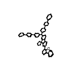 c1ccc(-c2ccc(-c3ccc(C(c4ccc(-c5ccc(-c6ccccc6)cc5)cc4)c4ccc5c(c4)C4(CCCC4)c4cc(-c6cccc7c6oc6ccccc67)ccc4-5)cc3)cc2)cc1